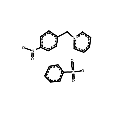 O=S(=O)([O-])c1ccccc1.O=[N+]([O-])c1ccc(C[n+]2ccccc2)cc1